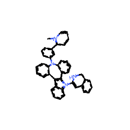 CN1C=CC=CC1c1cccc(N2c3ccccc3-c3c(n(C4=Cc5ccccc5CN4)c4ccccc34)-c3ccccc32)c1